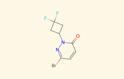 O=c1ccc(Br)nn1C1CC(F)(F)C1